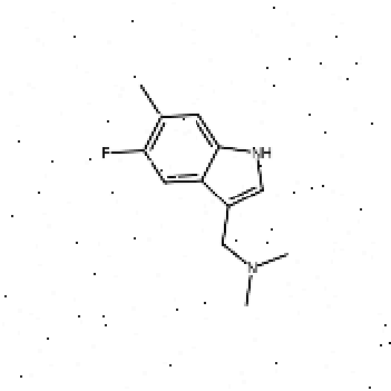 Cc1cc2[nH]cc(CN(C)C)c2cc1F